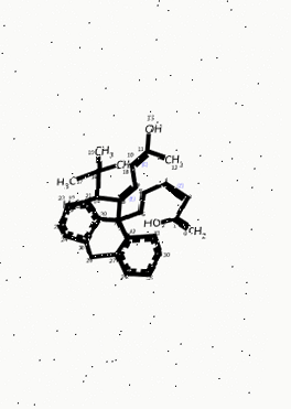 C=C(O)/C=C\CCC1(/C(=C/C=C(\C)O)C(C)C(C)(C)C)c2ccccc2Cc2ccccc21